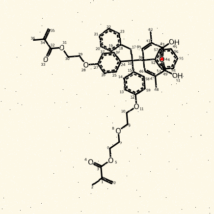 C=C(C)C(=O)OCCOCCOc1ccc(C(Cc2ccccc2)(c2ccc(OCCOC(=O)C(=C)C)cc2)C(C=C(C)C(=O)O)(C=C(C)C(=O)O)c2ccccc2)cc1